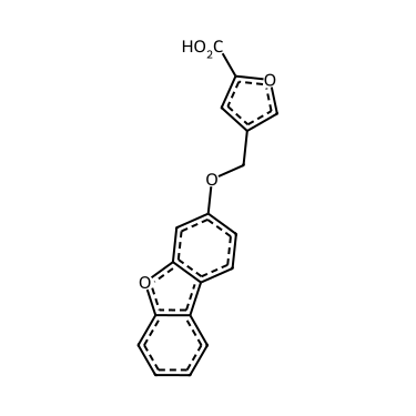 O=C(O)c1cc(COc2ccc3c(c2)oc2ccccc23)co1